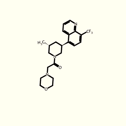 C[C@@H]1C[C@@H](c2ccc(C(F)(F)F)c3ncccc23)CN(C(=O)CN2CCOCC2)C1